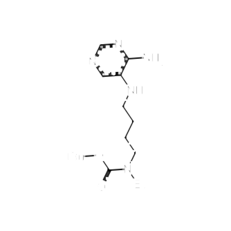 CCN(CCCCNc1cncnc1N)C(=O)OC(C)(C)C